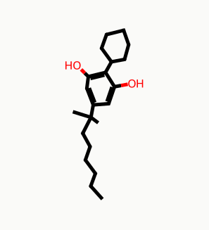 CCCCCCC(C)(C)c1cc(O)c(C2CCCCC2)c(O)c1